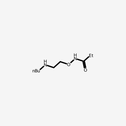 CCCCNCCONC(=O)CC